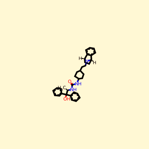 C[C@@H](NC(=O)NC1CCC(CCN2[C@@H]3CC[C@H]2c2ccccc23)CC1)C(O)(c1ccccc1)c1ccccc1